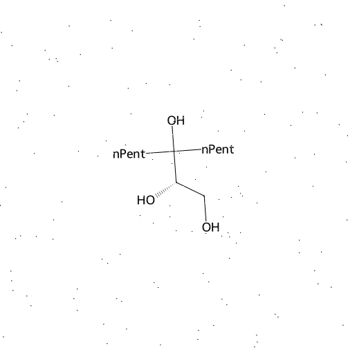 CCCCCC(O)(CCCCC)[C@@H](O)CO